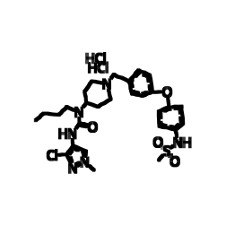 CCCCN(C(=O)Nc1cn(C)nc1Cl)C1CCN(Cc2ccc(Oc3ccc(NS(C)(=O)=O)cc3)cc2)CC1.Cl.Cl